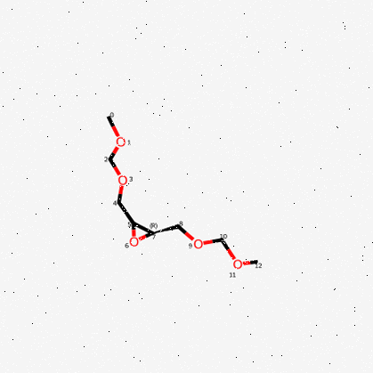 COCOCC1O[C@@H]1COCOC